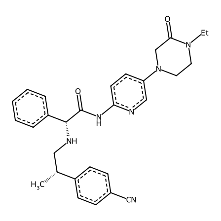 CCN1CCN(c2ccc(NC(=O)[C@H](NC[C@@H](C)c3ccc(C#N)cc3)c3ccccc3)nc2)CC1=O